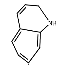 [c]1ccc2c(c1)NCC=C2